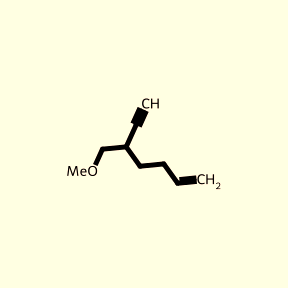 C#CC(CCC=C)COC